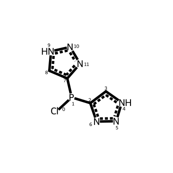 ClP(c1c[nH]nn1)c1c[nH]nn1